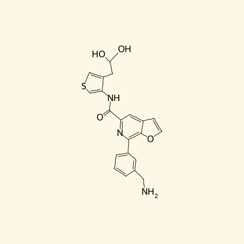 NCc1cccc(-c2nc(C(=O)Nc3cscc3CC(O)O)cc3ccoc23)c1